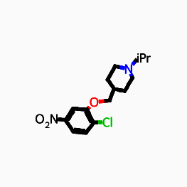 CC(C)N1CCC(COc2cc([N+](=O)[O-])ccc2Cl)CC1